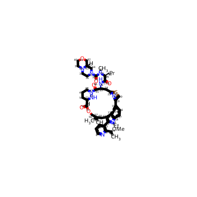 CCn1c(-c2cccnc2[C@H](C)OC)c2c3cc(ccc31)-c1csc(n1)C[C@H](NC(=O)[C@H](C(C)C)N(C)C(=O)N1CCN3CCOC[C@H]3C1)C(=O)N1CCC[C@H](N1)C(=O)OCC(C)(C)C2